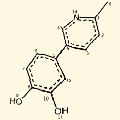 Cc1ccc(-c2ccc(O)c(O)c2)cn1